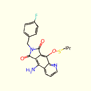 CC(C)SOc1c2c(c(N)c3cccnc13)C(=O)N(Cc1ccc(F)cc1)C2=O